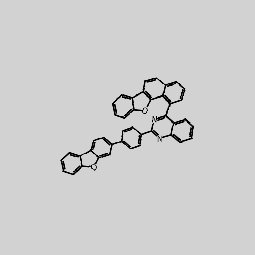 c1cc(-c2nc(-c3ccc(-c4ccc5c(c4)oc4ccccc45)cc3)nc3ccccc23)c2c(c1)ccc1c3ccccc3oc12